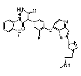 CNCCn1cnc(-c2cc3nccc(Oc4ccc(C(C(N)=O)C(=O)Nc5ccccc5OC)cc4F)c3s2)c1